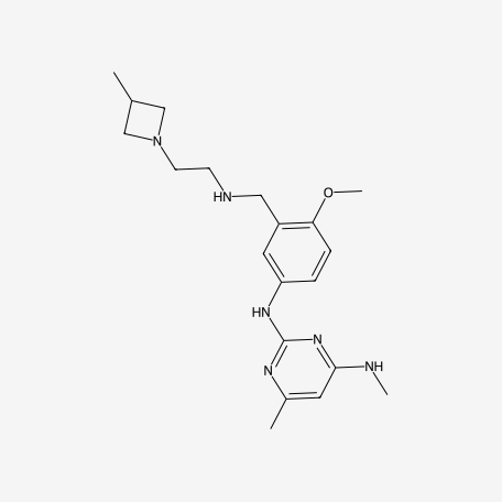 CNc1cc(C)nc(Nc2ccc(OC)c(CNCCN3CC(C)C3)c2)n1